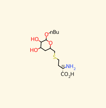 CCCCOC1OC(CSCC[C@H](N)C(=O)O)CC(O)C1O